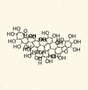 Oc1c(O)c(O)c2c(oc3c(O)c(O)c(-c4c5c(O)c(O)c(O)c(O)c5c(-c5c(O)c(O)c(-c6c(O)c(O)c7c(O)c(O)c(O)c(O)c7c6O)c6c(O)c(O)c(O)c(O)c56)c5c(O)c(O)c(O)c(O)c45)c(O)c32)c1O